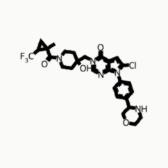 CC1(C(=O)N2CCC(O)(Cn3cnc4c(cc(Cl)n4-c4ccc(C5COCCN5)cc4)c3=O)CC2)CC1C(F)(F)F